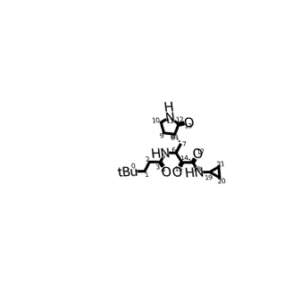 CC(C)(C)CCC(=O)NC(C[C@@H]1CCNC1=O)C(=O)C(=O)NC1CC1